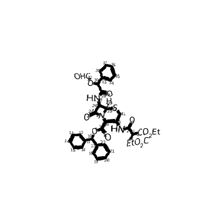 CCOC(=O)C(C(=O)NC1=C(C(=O)OC(c2ccccc2)c2ccccc2)N2C(=O)C(NC(=O)C(OC=O)c3ccccc3)[C@H]2SC1)C(=O)OCC